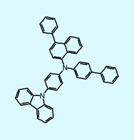 c1ccc(-c2ccc(N(c3ccc(-n4c5ccccc5c5ccccc54)cc3)c3ccc(-c4ccccc4)c4ccccc34)cc2)cc1